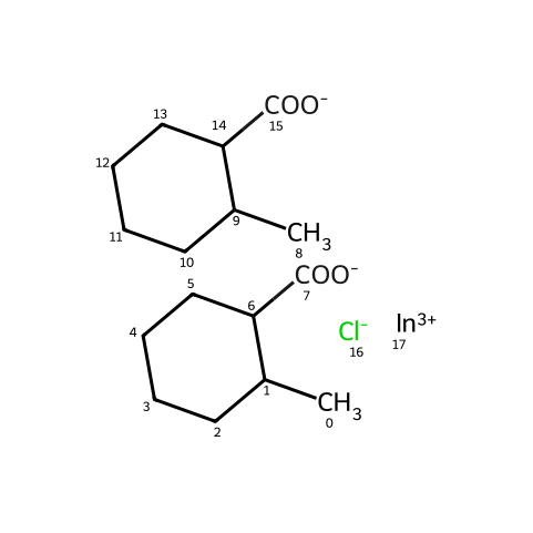 CC1CCCCC1C(=O)[O-].CC1CCCCC1C(=O)[O-].[Cl-].[In+3]